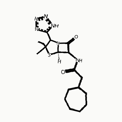 CC1(C)S[C@@H]2C(NC(=O)CC3CCCCCC3)C(=O)N2C1c1nnn[nH]1